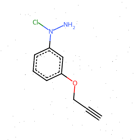 C#CCOc1cccc(N(N)Cl)c1